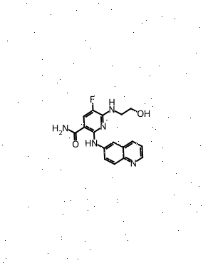 NC(=O)c1cc(F)c(NCCO)nc1Nc1ccc2ncccc2c1